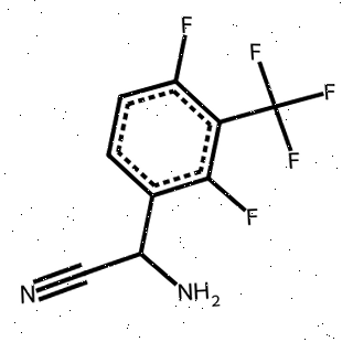 N#CC(N)c1ccc(F)c(C(F)(F)F)c1F